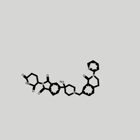 O=C1CCC(N2C(=O)c3ccc(C4(O)CCN(Cc5ccc6c(c5)C(=O)N(c5ccccn5)CC6)CC4)cc3C2=O)C(=O)N1